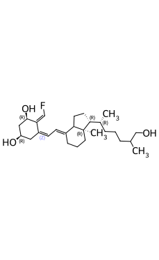 CC(CO)CCC[C@@H](C)[C@H]1CCC2C(=C/C=C3/C[C@@H](O)C[C@@H](O)C3=CF)CCC[C@@]21C